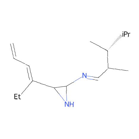 C=C/C=C(\CC)C1NC1/N=C/C(C)[C@H](C)C(C)C